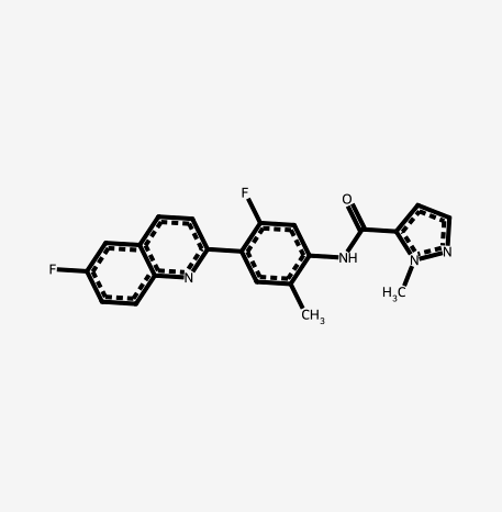 Cc1cc(-c2ccc3cc(F)ccc3n2)c(F)cc1NC(=O)c1ccnn1C